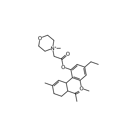 C=C(C)C1CCC(C)=CC1c1c(OC)cc(CC)cc1OC(=O)C[N+]1(C)CCOCC1